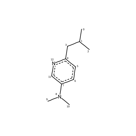 CC(C)Cc1ccc(N(C)C)cn1